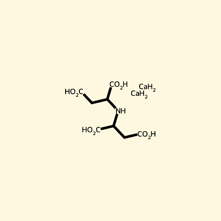 O=C(O)CC(NC(CC(=O)O)C(=O)O)C(=O)O.[CaH2].[CaH2]